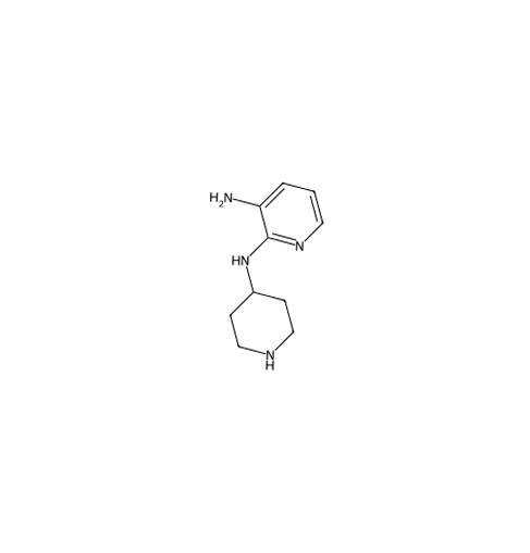 Nc1cccnc1NC1CCNCC1